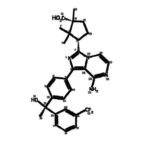 CC1(C)[C@@H](c2nc(-c3ccc([C@@](C)(O)c4cccc(C(F)(F)F)c4)cc3)c3c(N)nccn23)CC[C@@]1(C)C(=O)O